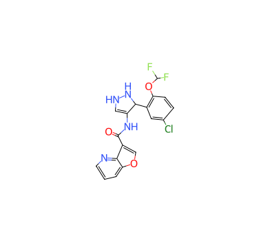 O=C(NC1=CNNC1c1cc(Cl)ccc1OC(F)F)c1coc2cccnc12